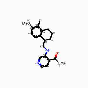 COC(=O)c1ccncc1NCC1CCCc2c1ccc(OC)c2C